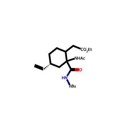 C=C[C@@H]1CCC(CC(=O)OCC)C(NC(C)=O)(C(=O)NCCCC)C1